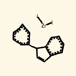 C1=Cc2ccccc2[C]1c1ccccc1.[I][Zr][I]